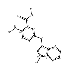 COC(=O)c1cc(Cc2cn(C)c3ccccc23)ccc1OC